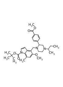 CCC(C)N1CCN(Cc2c(OC)cc(C)c3c2ccn3C(=O)OC(C)(C)C)C(c2ccc(C(=O)OC)cc2)C1